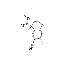 COC(=O)C1(C)CCOc2cc(F)c(C#N)cc21